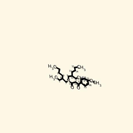 CCCCC(CC)CN(CC(CC)CCCC)C(=O)CC(=O)c1ccc(OC)cc1